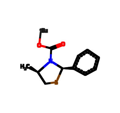 C[C@@H]1CS[C@H](c2ccccc2)N1C(=O)OC(C)(C)C